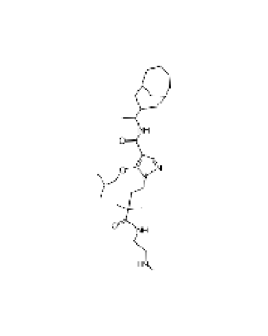 CNCCNC(=O)C(C)(C)CCn1ncc(C(=O)NC(C)C2CC3CCCCC(C3)C2)c1OCC(C)C